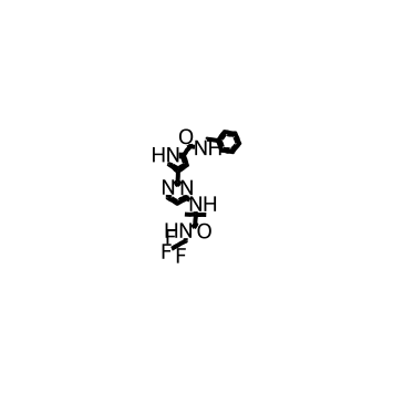 CC(C)(Nc1ccnc(-c2c[nH]c(C(=O)NCc3ccccc3)c2)n1)C(=O)NCC(F)(F)F